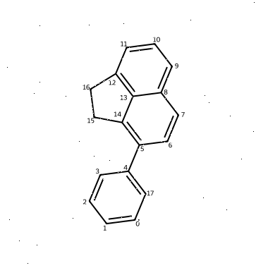 [c]1cccc(-c2ccc3cccc4c3c2CC4)c1